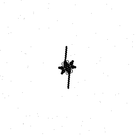 CCCCCCCCCCCCCCCCN1C(=O)c2cc(Oc3ccc(C(C)(C)C)cc3)c3c4c(Oc5ccc(C(C)(C)C)cc5)cc5c6c(cc(Oc7ccc(C(C)(C)C)cc7)c(c7c(Oc8ccc(C(C)(C)C)cc8)cc(c2c37)C1=O)c64)C(=O)N(CCCCCCCCCCCCCCCC)C5=O